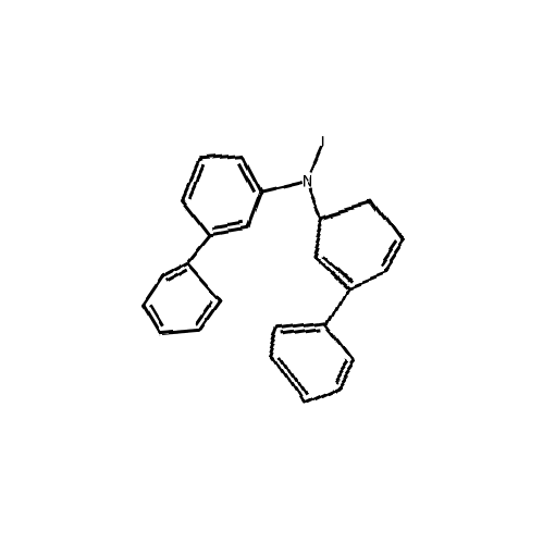 IN(c1cccc(-c2ccccc2)c1)C1C=C(c2ccccc2)C=CC1